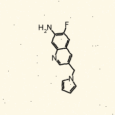 Nc1cc2ncc(Cn3cccc3)cc2cc1F